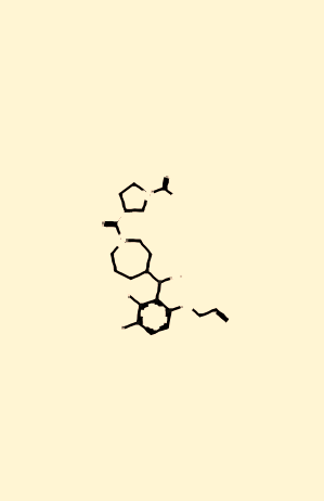 C=CCOc1ccc(Cl)c(Cl)c1C(O)C1CCCN(C(=O)[C@H]2CCN(C(=O)O)C2)CC1